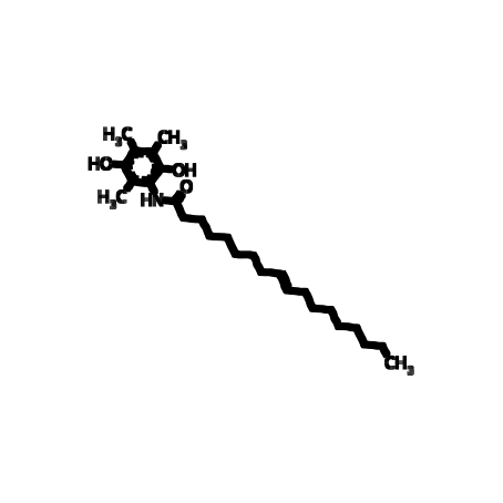 CCCCCCCCC=CCCCCCCCC(=O)Nc1c(C)c(O)c(C)c(C)c1O